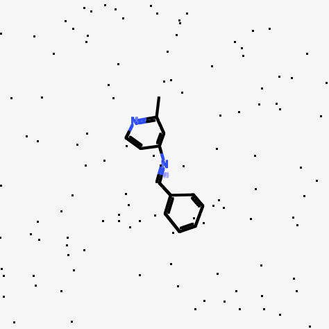 Cc1cc(/N=C/c2ccccc2)ccn1